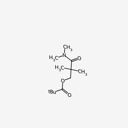 CN(C)C(=O)C(C)(C)COC(=O)C(C)(C)C